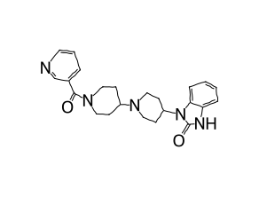 O=C(c1cccnc1)N1CCC(N2CCC(n3c(=O)[nH]c4ccccc43)CC2)CC1